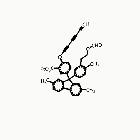 C#CC#CC#COc1ccc(C2(c3ccc(C)c(CCOC=O)c3)c3cc(C)ccc3-c3ccc(C)cc32)cc1C(=O)OCC